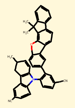 CC1C=Cc2c(c3cc(C#N)ccc3n2-c2ccc(C#N)cc2-c2ccc3oc4c5c(ccc4c3c2)-c2ccccc2C5(C)C)C1